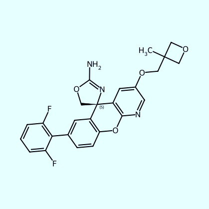 CC1(COc2cnc3c(c2)[C@]2(COC(N)=N2)c2cc(-c4c(F)cccc4F)ccc2O3)COC1